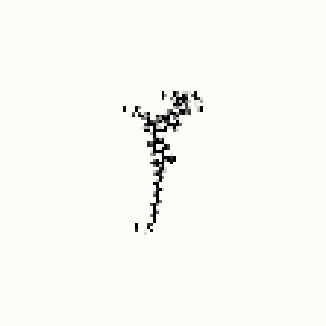 CCCCCCCCCCCCNC(=O)c1ccc(CN(CC2CCN(C(=O)OC(C)(C)C)CC2)C(=O)C(=O)OCC)cc1